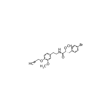 C#CCOc1ccc(CCNC(=O)[C@@H](Cc2ccc(Br)cc2)OC)cc1OC